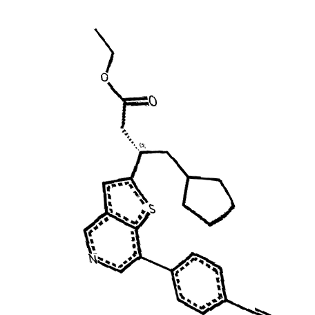 CCOC(=O)C[C@H](CC1CCCC1)c1cc2cncc(-c3ccc(C#N)cc3)c2s1